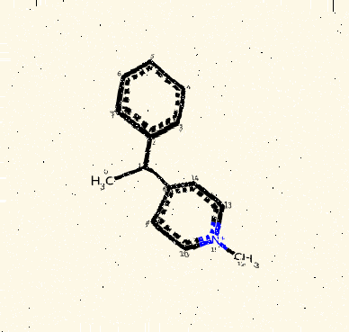 CC(c1ccccc1)c1cc[n+](C)cc1